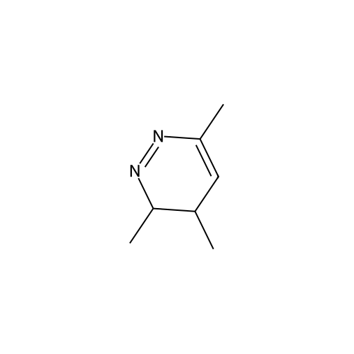 CC1=CC(C)C(C)N=N1